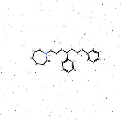 c1ccc(CCCC(CCCN2CCCCCC2)c2ccccc2)cc1